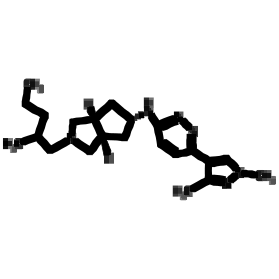 CCCC(C)CN1C[C@H]2C[C@@H](Nc3ccc(-c4cn(C)nc4C)nn3)C[C@H]2C1